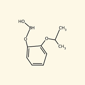 CC(C)Oc1ccccc1OBO